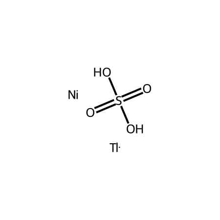 O=S(=O)(O)O.[Ni].[Tl]